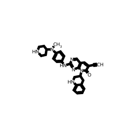 C#Cc1cc2cnc(Nc3ccc(N(C)C4CCNCC4)cc3)nc2n(C2CNc3ccccc3C2)c1=O